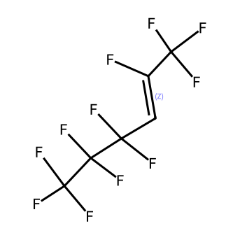 F/C(=C\C(F)(F)C(F)(F)C(F)(F)F)C(F)(F)F